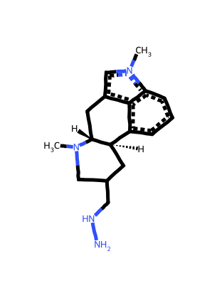 CN1CC(CNN)C[C@@H]2c3cccc4c3c(cn4C)C[C@H]21